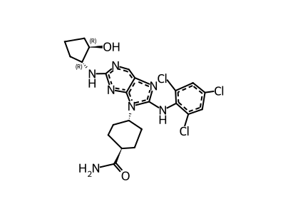 NC(=O)[C@H]1CC[C@H](n2c(Nc3c(Cl)cc(Cl)cc3Cl)nc3cnc(N[C@@H]4CCC[C@H]4O)nc32)CC1